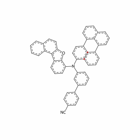 N#Cc1ccc(-c2cccc(N(c3ccc(-c4cccc5cccc(-c6ccccc6)c45)cc3)c3cccc4c3oc3ccc5ccccc5c34)c2)cc1